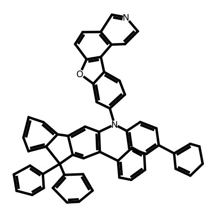 C1=CC(c2ccc(N(c3ccc4c(c3)oc3ccc5cnccc5c34)c3cc4c(cc3-c3ccccc3)C(c3ccccc3)(c3ccccc3)c3ccccc3-4)cc2)=CCC1